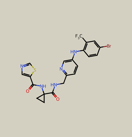 O=C(NC1(C(=O)NCc2ccc(Nc3ccc(Br)cc3C(F)(F)F)cn2)CC1)c1cncs1